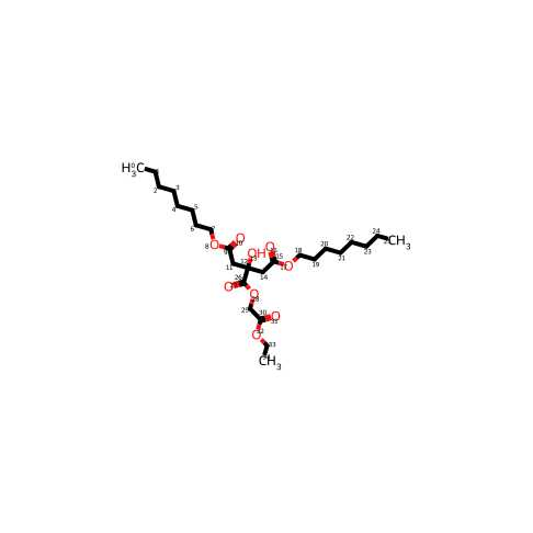 CCCCCCCCOC(=O)CC(O)(CC(=O)OCCCCCCCC)C(=O)OCC(=O)OCC